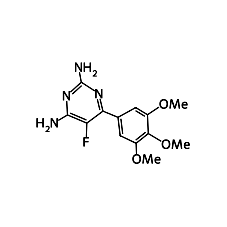 COc1cc(-c2nc(N)nc(N)c2F)cc(OC)c1OC